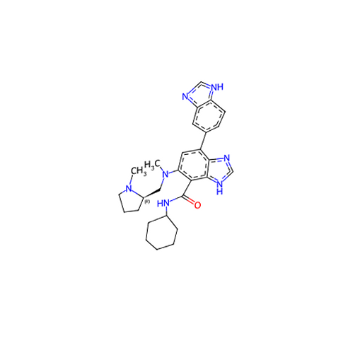 CN(C[C@H]1CCCN1C)c1cc(-c2ccc3[nH]cnc3c2)c2nc[nH]c2c1C(=O)NC1CCCCC1